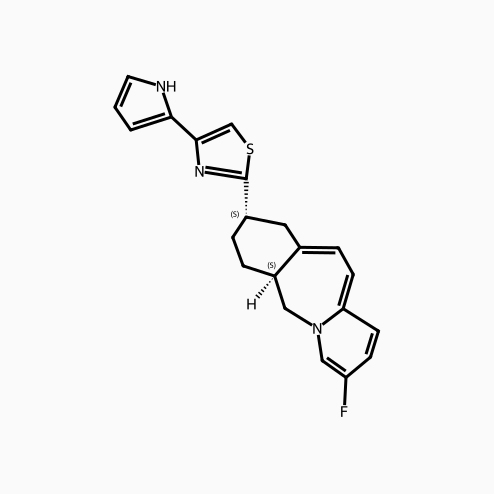 FC1=CN2C[C@H]3CC[C@H](c4nc(-c5ccc[nH]5)cs4)CC3=CC=C2C=C1